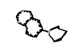 c1ncc2cc(N3CCCC3)ccc2n1